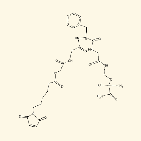 CC(C)(SCNC(=O)CNC(=O)[C@H](Cc1ccccc1)NC(=O)CNC(=O)CNC(=O)CCCCCN1C(=O)C=CC1=O)C(N)=O